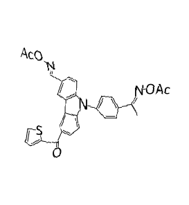 CC(=O)ON=C(C)c1ccc(-n2c3ccc(/C=N/OC(C)=O)cc3c3cc(C(=O)c4cccs4)ccc32)cc1